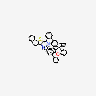 CC1C=C2C(=CC1)Oc1ccccc1C21c2ccccc2-c2cc(-c3ccccc3-c3nc(-c4ccc(-c5ccccc5)cc4)nc4c3sc3c5ccccc5ccc43)ccc21